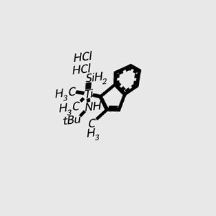 CC1=Cc2ccccc2[CH]1[Ti]([CH3])([CH3])(=[SiH2])[NH]C(C)(C)C.Cl.Cl